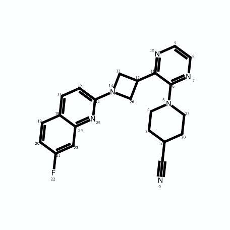 N#CC1CCN(c2nccnc2C2CN(c3ccc4ccc(F)cc4n3)C2)CC1